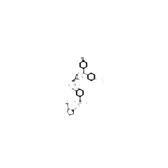 CCN1CCCC1CNC(=O)c1cccc(CS(=O)(=O)C=C2CN(C(c3ccc(Cl)cc3)c3ccc(Cl)cc3)C2)c1